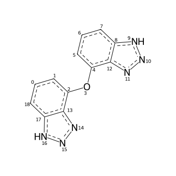 c1cc(Oc2cccc3[nH]nnc23)c2nn[nH]c2c1